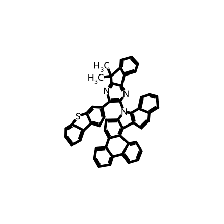 CC1(C)c2ccccc2-c2nc(-n3c4ccc5c6ccccc6c6ccccc6c5c4c4ccc5ccccc5c43)c(-c3ccc4c(c3)sc3ccccc34)nc21